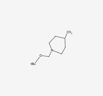 CC1CCN(COC(C)(C)C)CC1